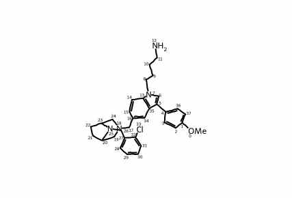 COc1ccc(-c2cn(CCCCN)c3ccc(CN4CC5CCC(C4)N5Cc4ccccc4Cl)cc23)cc1